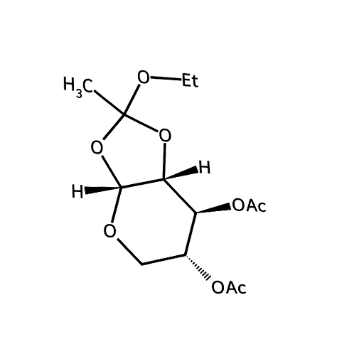 CCOC1(C)O[C@H]2OC[C@@H](OC(C)=O)[C@H](OC(C)=O)[C@H]2O1